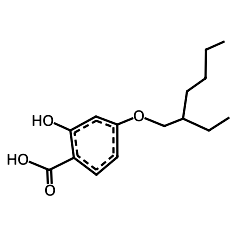 CCCCC(CC)COc1ccc(C(=O)O)c(O)c1